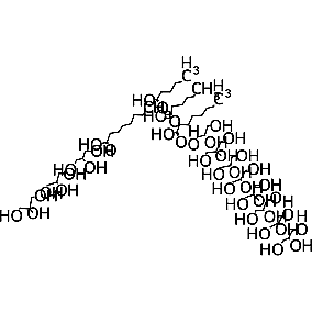 CCCCCC(=O)O.CCCCCC(=O)O.CCCCCCCC(=O)O.CCCCCCCC(=O)O.OCC(O)CO.OCC(O)CO.OCC(O)CO.OCC(O)CO.OCC(O)CO.OCC(O)CO.OCC(O)CO.OCC(O)CO.OCC(O)CO.OCC(O)CO.OCC(O)CO